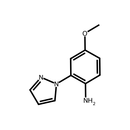 COc1ccc(N)c(-n2cccn2)c1